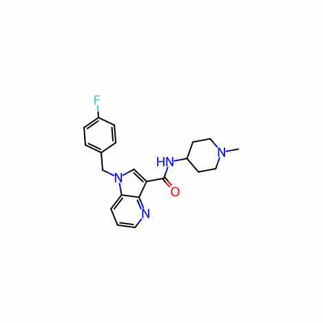 CN1CCC(NC(=O)c2cn(Cc3ccc(F)cc3)c3cccnc23)CC1